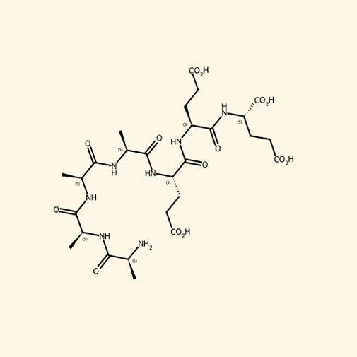 C[C@H](N)C(=O)N[C@@H](C)C(=O)N[C@@H](C)C(=O)N[C@@H](C)C(=O)N[C@@H](CCC(=O)O)C(=O)N[C@@H](CCC(=O)O)C(=O)N[C@@H](CCC(=O)O)C(=O)O